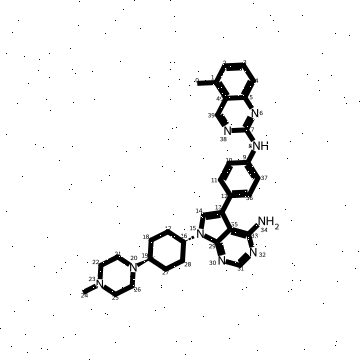 Cc1cccc2nc(Nc3ccc(-c4cn([C@H]5CC[C@H](N6CCN(C)CC6)CC5)c5ncnc(N)c45)cc3)ncc12